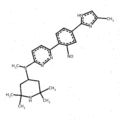 Cc1c[nH]c(-c2ccc(-c3ccc(N(C)C4CC(C)(C)NC(C)(C)C4)nn3)c(N=O)c2)n1